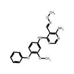 CO/N=C/c1c(N)ncnc1Nc1ccc(Oc2ccccc2)c(OC)c1